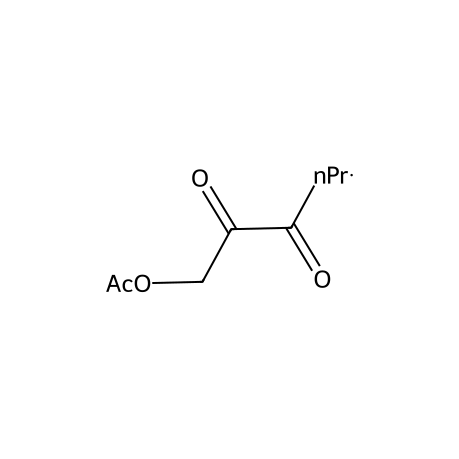 CC[CH]C(=O)C(=O)COC(C)=O